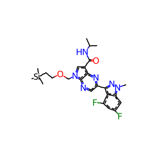 CC(C)NC(=O)c1cn(COCC[Si](C)(C)C)c2ncc(-c3nn(C)c4cc(F)cc(F)c34)nc12